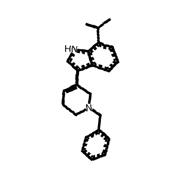 CC(C)c1cccc2c(C3=CCCN(Cc4ccccc4)C3)c[nH]c12